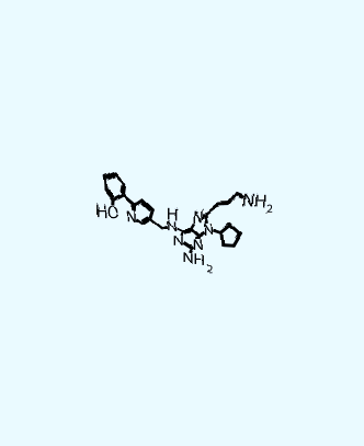 NCCCc1nc2c(NCc3ccc(-c4ccccc4O)nc3)nc(N)nc2n1C1CCCC1